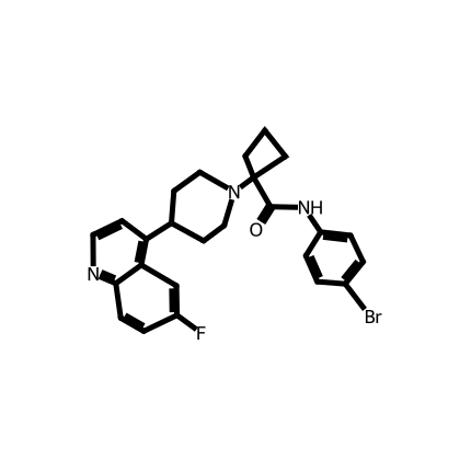 O=C(Nc1ccc(Br)cc1)C1(N2CCC(c3ccnc4ccc(F)cc34)CC2)CCC1